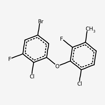 Cc1ccc(Cl)c(Oc2cc(Br)cc(F)c2Cl)c1F